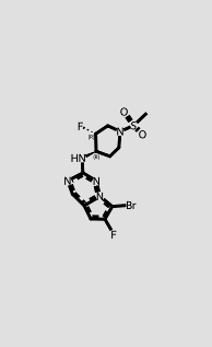 CS(=O)(=O)N1CC[C@@H](Nc2ncc3cc(F)c(Br)n3n2)[C@H](F)C1